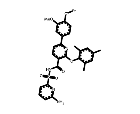 CCOc1ccc(-c2ccc(C(=O)NS(=O)(=O)c3cccc(N)n3)c(Oc3c(C)cc(C)cc3C)n2)cc1OC